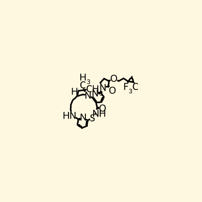 CC1(C)C[C@@H]2CCCNc3cccc(n3)SNC(=O)c3ccc(N4CCC(OCCC5(C(F)(F)F)CC5)C4=O)nc3N1C2